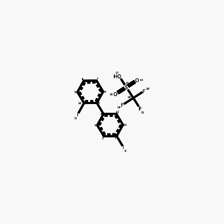 Ic1ccc(-c2ccccc2I)cc1.O=S(=O)(O)C(F)(F)F